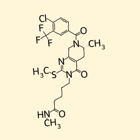 CNC(=O)CCCCn1c(SC)nc2c(c1=O)C[C@@H](C)N(C(=O)c1ccc(Cl)c(C(F)(F)F)c1)C2